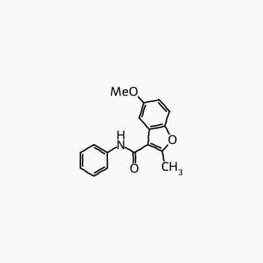 COc1ccc2oc(C)c(C(=O)Nc3ccccc3)c2c1